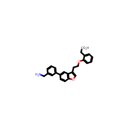 NCc1cccc(-c2ccc3occ(CCOc4ccccc4CC(=O)O)c3c2)c1